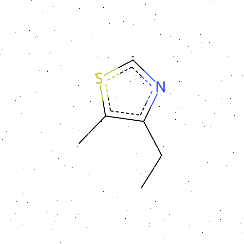 CCc1n[c]sc1C